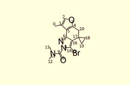 Cc1coc2c1-c1nn(C(=O)N(C)C)c(Br)c1C1(CC1)C2